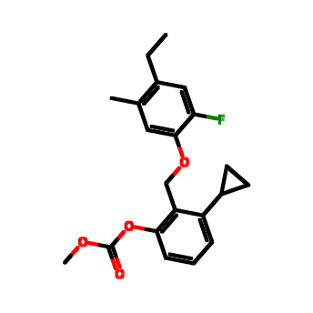 CCc1cc(F)c(OCc2c(OC(=O)OC)cccc2C2CC2)cc1C